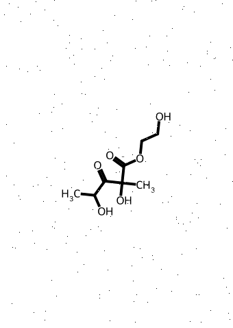 CC(O)C(=O)C(C)(O)C(=O)OCCO